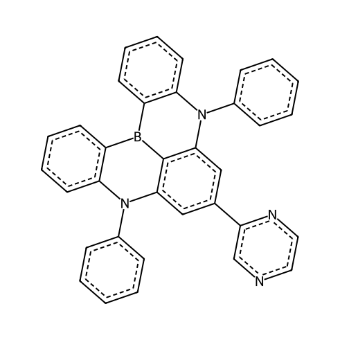 c1ccc(N2c3ccccc3B3c4ccccc4N(c4ccccc4)c4cc(-c5cnccn5)cc2c43)cc1